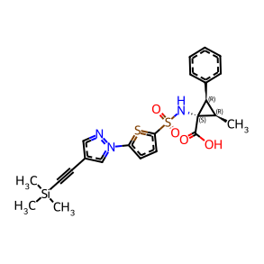 C[C@@H]1[C@H](c2ccccc2)[C@]1(NS(=O)(=O)c1ccc(-n2cc(C#C[Si](C)(C)C)cn2)s1)C(=O)O